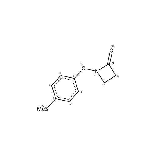 CSc1ccc(ON2CCC2=O)cc1